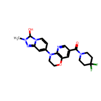 CN1N=C2C=C(N3CCOc4cc(C(=O)N5CCC(F)(F)CC5)cnc43)C=CN2C1O